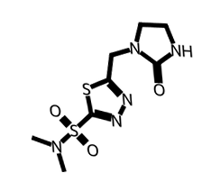 CN(C)S(=O)(=O)c1nnc(CN2CCNC2=O)s1